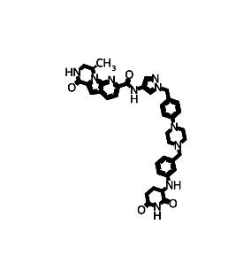 C[C@@H]1CNC(=O)c2cc3ccc(C(=O)Nc4cnn(Cc5ccc(N6CCN(Cc7cccc(NC8CCC(=O)NC8=O)c7)CC6)cc5)c4)nc3n21